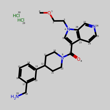 COCCn1cc(C(=O)N2CCC(c3cccc(CN)c3)CC2)c2ccncc21.Cl.Cl